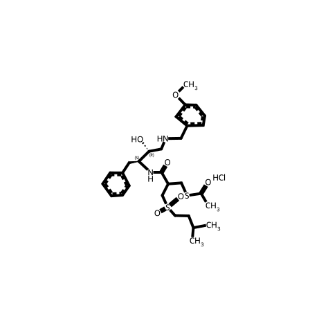 COc1cccc(CNC[C@@H](O)[C@H](Cc2ccccc2)NC(=O)C(CSC(C)=O)CS(=O)(=O)CCC(C)C)c1.Cl